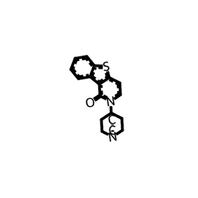 O=c1c2c(ccn1C13CCN(CC1)CC3)sc1ccccc12